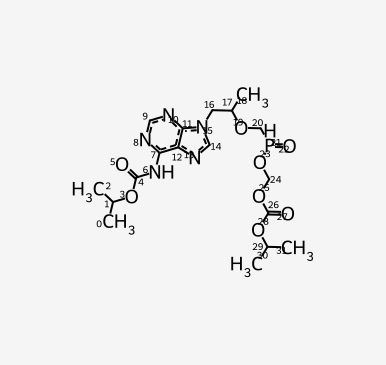 CC(C)OC(=O)Nc1ncnc2c1ncn2CC(C)OC[PH](=O)OCOC(=O)OC(C)C